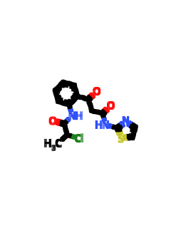 CC(Cl)C(=O)Nc1ccccc1C(=O)CC(=O)Nc1nccs1